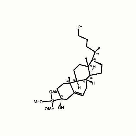 CO[Si](OC)(OC)[C@@]1(O)CC[C@@]2(C)C(=CC[C@H]3[C@@H]4CC[C@H]([C@H](C)CCCC(C)C)[C@@]4(C)CC[C@@H]32)C1